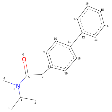 CC(C)N(C)C(=O)Cc1ccc(-c2ccccc2)cc1